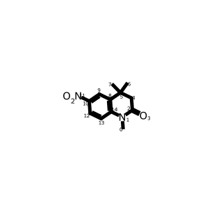 CN1C(=O)CC(C)(C)c2cc([N+](=O)[O-])ccc21